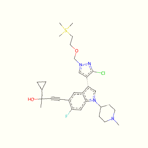 CN1CCC(n2cc(-c3cn(COCCS(C)(C)C)nc3Cl)c3cc(C#CC(C)(O)C4CC4)c(F)cc32)CC1